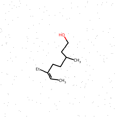 CC=C(CC)CCC(C)CCO